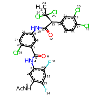 CC(=O)Nc1cc(NC(=O)c2cc(NC(=O)[C@H](c3ccc(Cl)c(Cl)c3)C(C)(Cl)Cl)ccc2Cl)c(F)cc1F